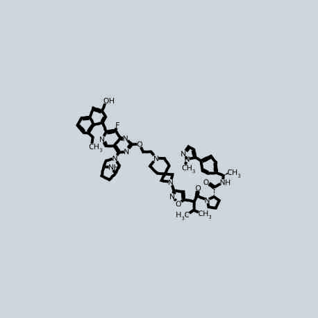 CCc1cccc2cc(O)cc(-c3ncc4c(N5CC6CCC(C5)N6)nc(OCCN5CCC6(CC5)CN(c5cc(C(C(=O)N7CCC[C@H]7C(=O)N[C@@H](C)c7ccc(-c8ccnn8C)cc7)C(C)C)on5)C6)nc4c3F)c12